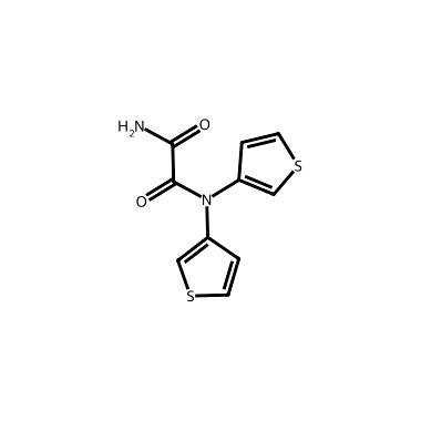 NC(=O)C(=O)N(c1ccsc1)c1ccsc1